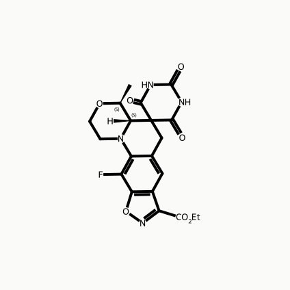 CCOC(=O)c1noc2c(F)c3c(cc12)CC1(C(=O)NC(=O)NC1=O)[C@H]1[C@H](C)OCCN31